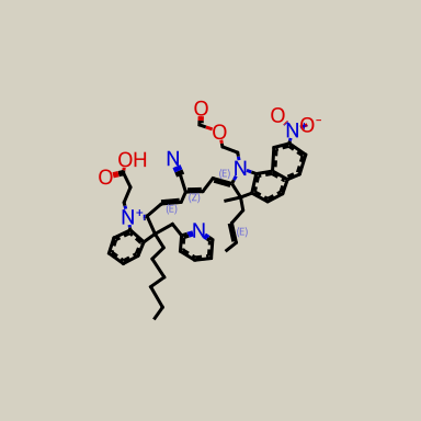 C/C=C/CC1(C)\C(=C/C=C(C#N)/C=C/C2=[N+](CCC(=O)O)c3ccccc3C2(CCCCCC)Cc2ccccn2)N(CCOC=O)c2c1ccc1ccc([N+](=O)[O-])cc21